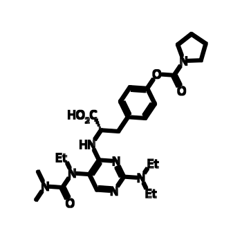 CCN(CC)c1ncc(N(CC)C(=O)N(C)C)c(N[C@@H](Cc2ccc(OC(=O)N3CCCC3)cc2)C(=O)O)n1